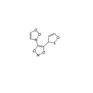 C1=CN(C2=C(C3C=COS3)O[N]O2)OO1